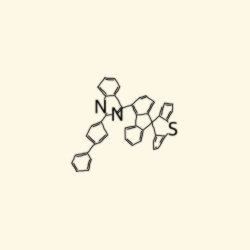 c1ccc(-c2ccc(-c3nc(-c4cccc5c4-c4ccccc4C54c5ccccc5Sc5ccccc54)c4ccccc4n3)cc2)cc1